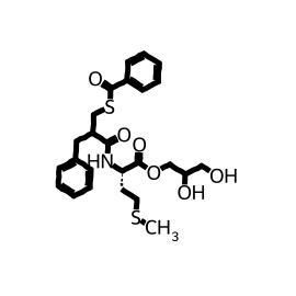 CSCC[C@H](NC(=O)C(CSC(=O)c1ccccc1)Cc1ccccc1)C(=O)OCC(O)CO